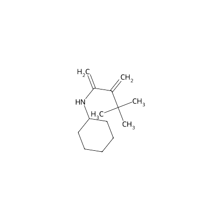 C=C(NC1CCCCC1)C(=C)C(C)(C)C